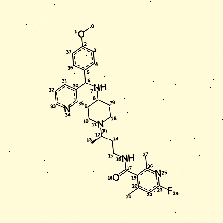 COc1ccc(C(NC2CCN([C@H](C)CCNC(=O)c3c(C)cc(F)nc3C)CC2)c2cccnc2)cc1